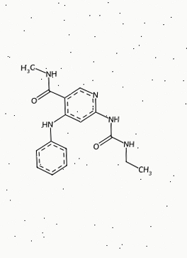 CCNC(=O)Nc1cc(Nc2ccccc2)c(C(=O)NC)cn1